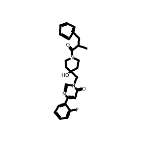 CC(Cc1ccccc1)C(=O)N1CCC(O)(Cn2cnc(-c3ccccc3F)cc2=O)CC1